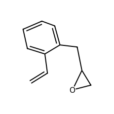 C=Cc1ccccc1CC1CO1